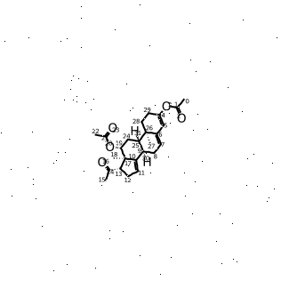 CC(=O)OC1=CC2=CC[C@H]3C4=CC[C@H](C(C)=O)[C@@]4(C)[C@H](OC(C)=O)C[C@@H]3[C@@]2(C)CC1